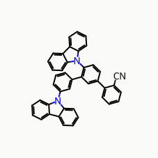 N#Cc1ccccc1-c1ccc(-n2c3ccccc3c3ccccc32)c(-c2cccc(-n3c4ccccc4c4ccccc43)c2)c1